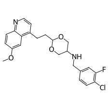 COc1ccc2nccc(CCC3OCC(NCc4ccc(Cl)c(F)c4)CO3)c2c1